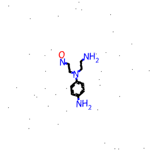 NCCN(CCN=O)c1ccc(N)cc1